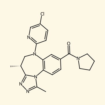 Cc1nnc2n1-c1ccc(C(=O)N3CCCC3)cc1N(c1ccc(Cl)cn1)C[C@H]2C